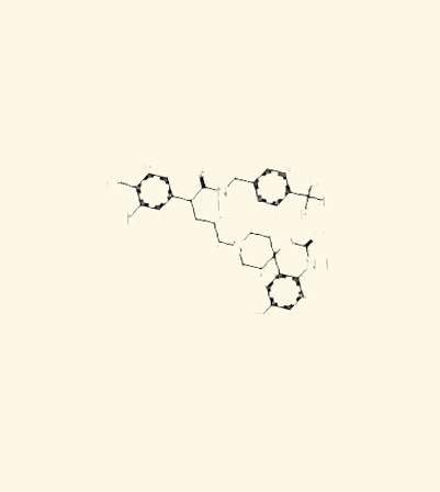 O=C1Nc2ccc(F)cc2C2(CCN(CCCC(C(=O)NCc3ccc(C(F)(F)F)cc3)c3ccc(Cl)c(Cl)c3)CC2)O1